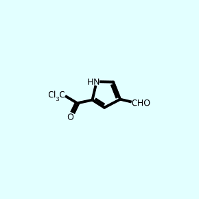 O=Cc1c[nH]c(C(=O)C(Cl)(Cl)Cl)c1